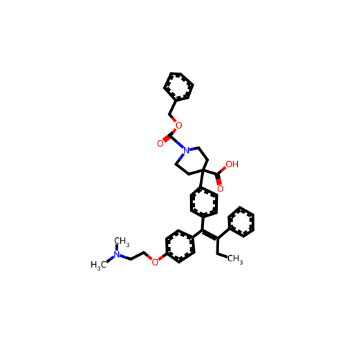 CC/C(=C(\c1ccc(OCCN(C)C)cc1)c1ccc(C2(C(=O)O)CCN(C(=O)OCc3ccccc3)CC2)cc1)c1ccccc1